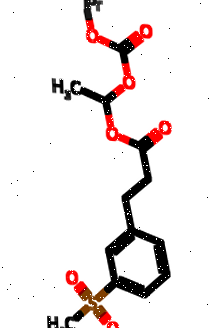 CC(C)OC(=O)OC(C)OC(=O)CCc1cccc(S(C)(=O)=O)c1